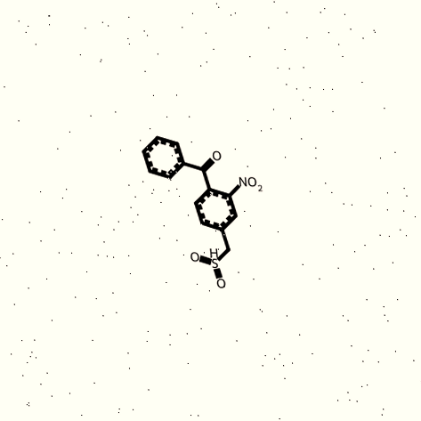 O=C(c1ccccc1)c1ccc(C[SH](=O)=O)cc1[N+](=O)[O-]